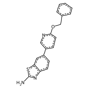 Nc1nc2ccc(-c3ccc(OCc4ccccc4)nc3)cc2s1